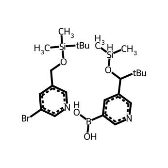 CC(C)(C)[Si](C)(C)OCc1cncc(Br)c1.C[SiH](C)OC(c1cncc(B(O)O)c1)C(C)(C)C